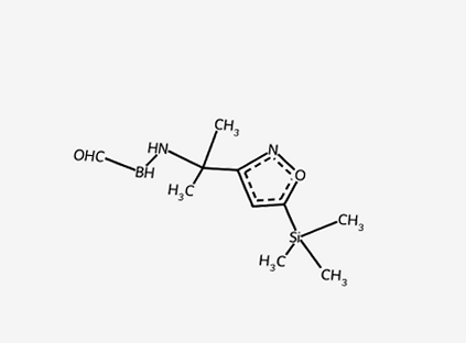 CC(C)(NBC=O)c1cc([Si](C)(C)C)on1